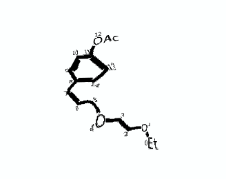 CCOCCOC/C=C\c1ccc(OC(C)=O)cc1